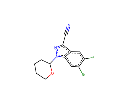 N#Cc1nn(C2CCCCO2)c2cc(Br)c(F)cc12